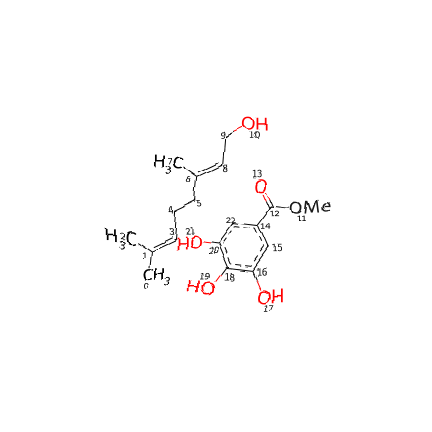 CC(C)=CCC/C(C)=C/CO.COC(=O)c1cc(O)c(O)c(O)c1